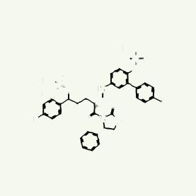 C[Si](C)(C)Oc1ccc(NC[C@@H](CCC(O[Si](C)(C)C)c2ccc(F)cc2)C(=O)N2C(=O)OC[C@@H]2c2ccccc2)cc1-c1ccc(I)cc1